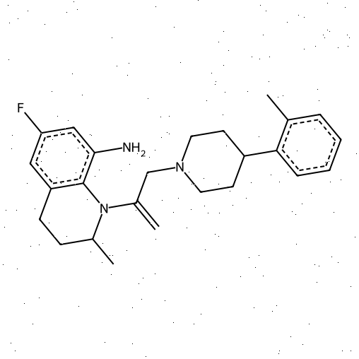 C=C(CN1CCC(c2ccccc2C)CC1)N1c2c(N)cc(F)cc2CCC1C